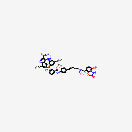 COc1cccc(Nc2c(C(N)=O)cnc3c(C)cc(S(=O)(=O)c4cccc(C(=O)Nc5ccc(C#CCCCNC[C@H](O)c6ccc(O)c7c6OCC(=O)N7)cc5C)c4)cc23)c1